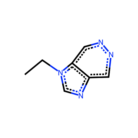 CCn1cnc2cnncc21